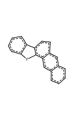 c1ccc2[c](c1)[Y][c]1c-2ccc2cc3ccccc3cc12